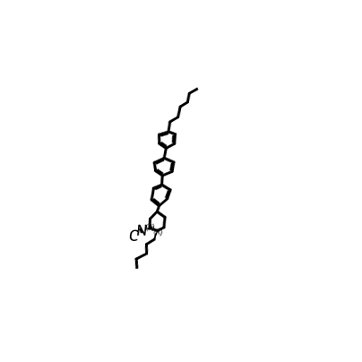 [C-]#[N+][C@H]1CC(c2ccc(-c3ccc(-c4ccc(CCCCCC)cc4)cc3)cc2)CC[C@H]1CCCCC